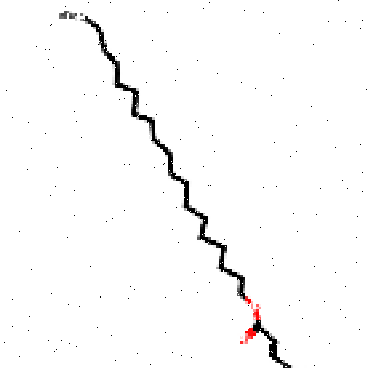 CCCCCCCCCCCCCCCCCCCCCCCCCCCCOC(=O)/C=C/C(=O)O